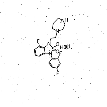 Cl.Cl.O=S1(=O)N(CCN2CCCNCC2)c2c(F)cccc2N1c1ccc(F)cc1F